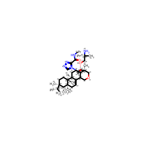 CC(C)NC(=O)c1nncn1[C@@H]1C[C@@]23COC[C@@](C)([C@@H]2CC[C@H]2C3=CC[C@@]3(C)[C@H](C(=O)O)[C@@](C)([C@H](C)C(C)C)CC[C@]23C)[C@H]1OC[C@](C)(N)C(C)C